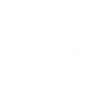 C/C=C\COCC1CCC(CCC2CCC(COC/C=C/C)CC2)CC1